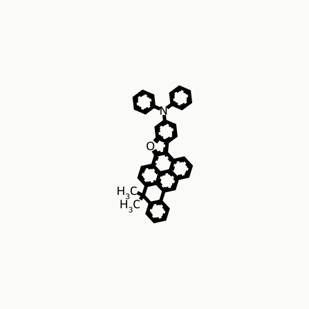 CC1(C)c2ccccc2-c2cc3cccc4c5c6ccc(N(c7ccccc7)c7ccccc7)cc6oc5c5ccc1c2c5c34